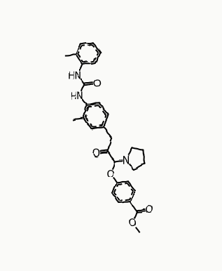 COC(=O)c1ccc(OC(C(=O)Cc2ccc(NC(=O)Nc3ccccc3C)c(C)c2)N2CCCC2)cc1